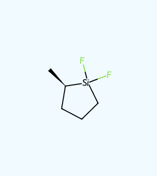 C[C@@H]1CCC[Si]1(F)F